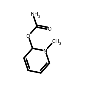 CN1C=CC=CC1OC(N)=O